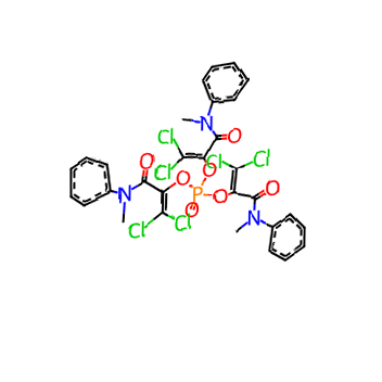 CN(C(=O)C(OP(=O)(OC(C(=O)N(C)c1ccccc1)=C(Cl)Cl)OC(C(=O)N(C)c1ccccc1)=C(Cl)Cl)=C(Cl)Cl)c1ccccc1